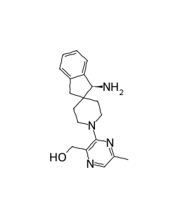 Cc1cnc(CO)c(N2CCC3(CC2)Cc2ccccc2[C@H]3N)n1